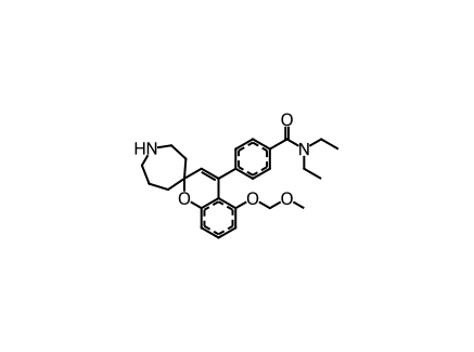 CCN(CC)C(=O)c1ccc(C2=CC3(CCCNCC3)Oc3cccc(OCOC)c32)cc1